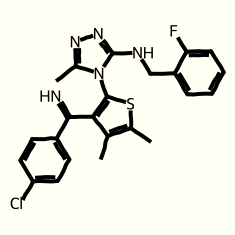 Cc1sc(-n2c(C)nnc2NCc2ccccc2F)c(C(=N)c2ccc(Cl)cc2)c1C